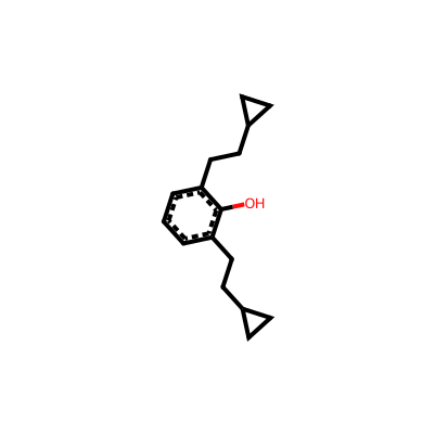 Oc1c(CCC2CC2)cccc1CCC1CC1